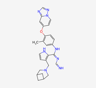 Cc1cc(N/C(=N/C=N)c2[nH]ccc2CN2CC3CC(C3)C2)ccc1Oc1ccn2ncnc2c1